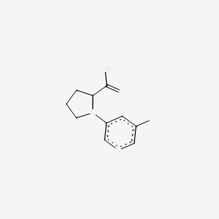 NC(=O)C1CCCN1c1cncc(Br)c1